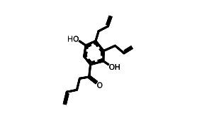 C=CCCC(=O)c1cc(O)c(CC=C)c(CC=C)c1O